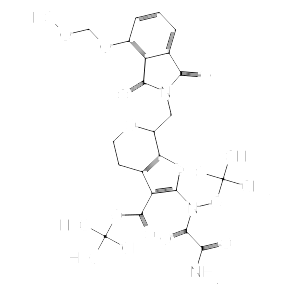 COCOc1cccc2c1C(=O)N(CC1OCCc3c1sc(N(OC(C)(C)C)C(=O)C(N)=O)c3C(=O)OC(C)(C)C)C2=O